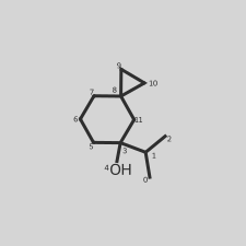 CC(C)C1(O)CCCC2(CC2)C1